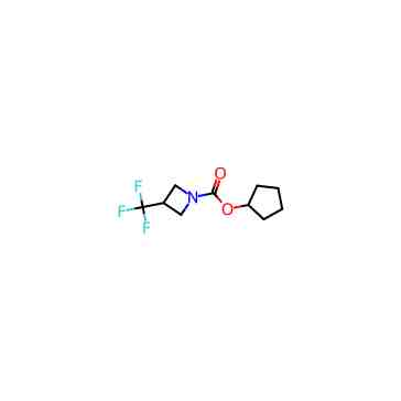 O=C(OC1CCCC1)N1CC(C(F)(F)F)C1